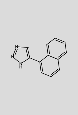 [c]1nn[nH]c1-c1cccc2ccccc12